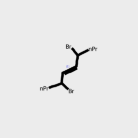 CCCC(Br)/C=C/C(Br)CCC